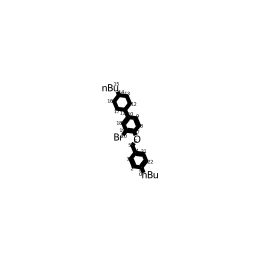 CCCCc1ccc(COc2ccc(C3CCC(CCCC)CC3)cc2Br)cc1